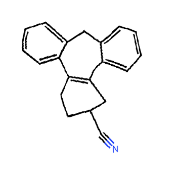 N#CC1CCC2=C(C1)c1ccccc1Cc1ccccc12